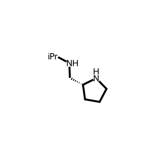 CC(C)NC[C@H]1CCCN1